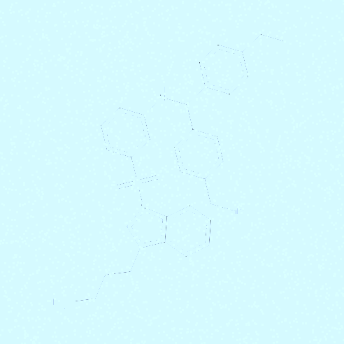 CC(C)Cc1ccc(C(Nc2cccc(S(=O)(=O)n3cc(CCCC(=O)O)c4ccccc43)c2)c2ccc(CC(C)C)cc2)cc1